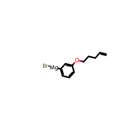 C=CCCCOc1ccc[c]([Mg][Br])c1